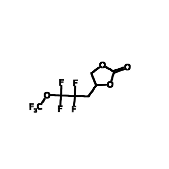 O=C1OCC(CC(F)(F)C(F)(F)OC(F)(F)F)O1